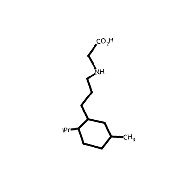 CC1CCC(C(C)C)C(CCCNCC(=O)O)C1